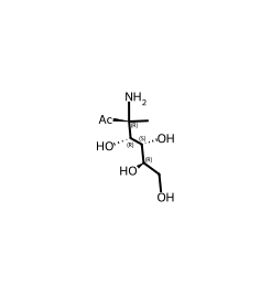 CC(=O)[C@](C)(N)[C@@H](O)[C@H](O)[C@H](O)CO